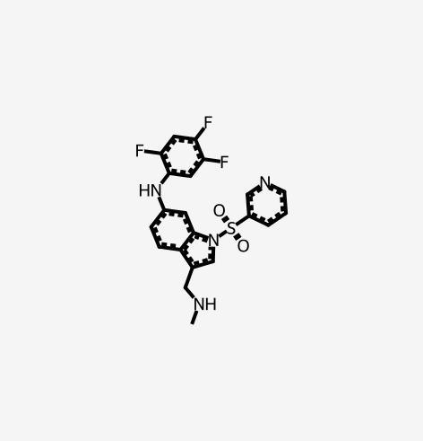 CNCc1cn(S(=O)(=O)c2cccnc2)c2cc(Nc3cc(F)c(F)cc3F)ccc12